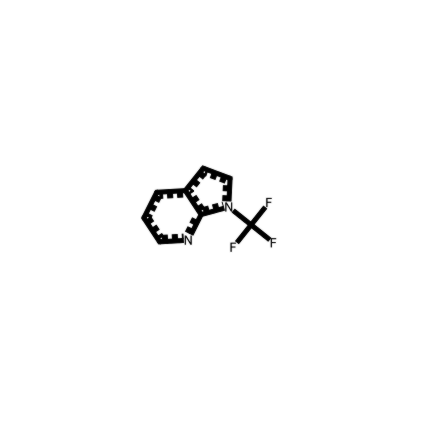 FC(F)(F)n1ccc2cccnc21